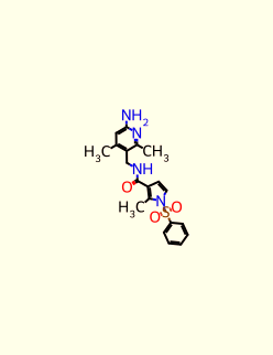 Cc1cc(N)nc(C)c1CNC(=O)c1ccn(S(=O)(=O)c2ccccc2)c1C